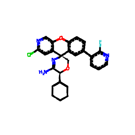 NC1=N[C@]2(CO[C@H]1C1CCCCC1)c1cc(-c3cccnc3F)ccc1Oc1cnc(Cl)cc12